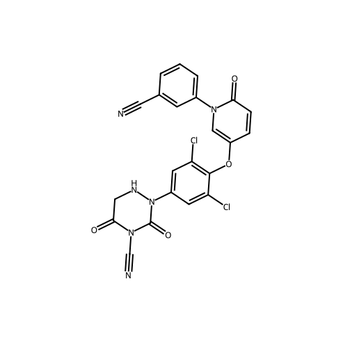 N#Cc1cccc(-n2cc(Oc3c(Cl)cc(N4NCC(=O)N(C#N)C4=O)cc3Cl)ccc2=O)c1